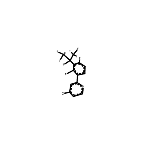 Fc1ccc(-c2cc(Cl)ccn2)c(F)c1C(F)(C(F)(F)F)C(F)(F)F